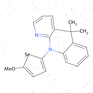 COc1ccc(N2c3ccccc3C(C)(C)c3cccnc32)[se]1